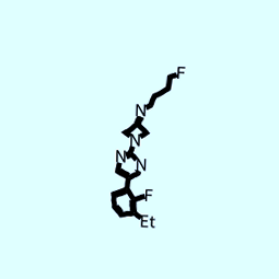 CCc1cccc(-c2cnc(N3CC(=NCCCCF)C3)nc2)c1F